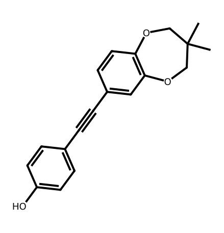 CC1(C)COc2ccc(C#Cc3ccc(O)cc3)cc2OC1